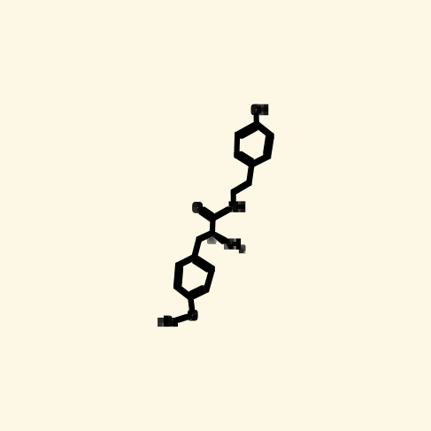 CCCCOc1ccc(C[C@H](N)C(=O)NCCc2ccc(O)cc2)cc1